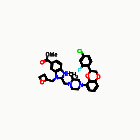 COC(=O)c1ccc2c(c1)N(CC1CCO1)C(CN1CCN(c3cccc4c3OC(c3ccc(Cl)cc3F)CO4)CC1C)N2